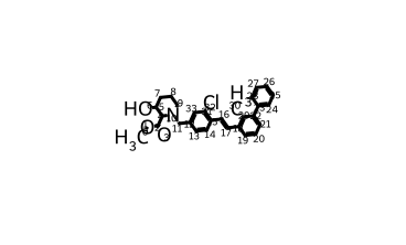 COC(=O)C1C(O)CCCN1Cc1ccc(/C=C/c2cccc(-c3ccccc3)c2C)c(Cl)c1